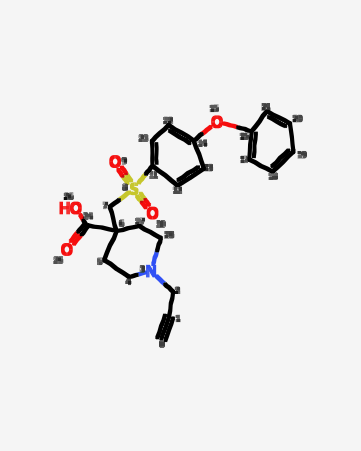 C#CCN1CCC(CS(=O)(=O)c2ccc(Oc3ccccc3)cc2)(C(=O)O)CC1